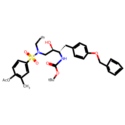 CC(=O)Oc1ccc(S(=O)(=O)N(CC(C)C)C[C@@H](O)[C@H](Cc2ccc(OCc3ccccc3)cc2)NC(=O)OC(C)(C)C)cc1C